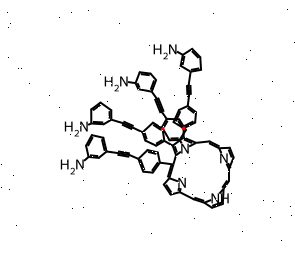 Nc1cccc(C#Cc2ccc(-c3c(-c4ccc(C#Cc5cccc(N)c5)cc4)c4c(-c5ccc(C#Cc6cccc(N)c6)cc5)c5nc(cc6ccc(cc7nc(cc3n4-c3ccc(C#Cc4cccc(N)c4)cc3)C=C7)[nH]6)C=C5)cc2)c1